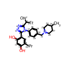 CCC(N=O)c1nnc(-c2cc(C(C)C)c(O)cc2O)n1-c1ccc(CN2CCC(C)CC2)cc1